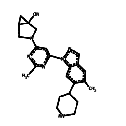 Cc1nc(N2CC3CC3(O)C2)cc(-n2ncc3cc(C)c(C4CCNCC4)cc32)n1